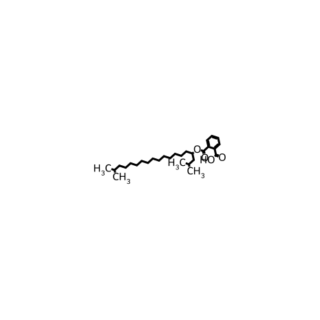 CC(C)CCCCCCCCCCCCCC(CC(C)C)OC(=O)c1ccccc1C(=O)O